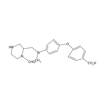 CN(CC1CNCCN1C=O)c1ccc(Oc2ccc(C(=O)O)cc2)cc1